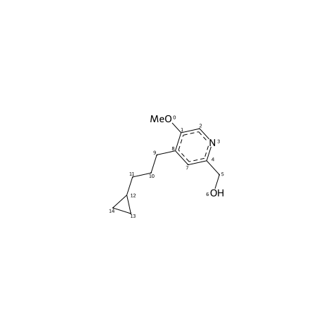 COc1cnc(CO)cc1CCCC1CC1